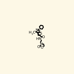 Cc1nn(C2CCCCC2)c2sc(C(=O)NCCN3CCOC3=O)cc12